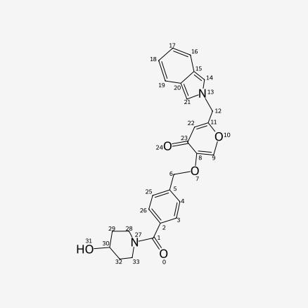 O=C(c1ccc(COc2coc(Cn3cc4ccccc4c3)cc2=O)cc1)N1CCC(O)CC1